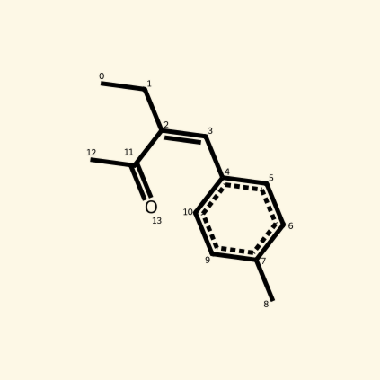 CC/C(=C/c1ccc(C)cc1)C(C)=O